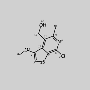 COc1csc2c(Cl)nc(C)c(CO)c12